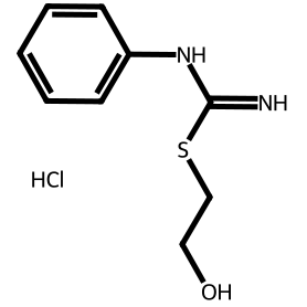 Cl.N=C(Nc1ccccc1)SCCO